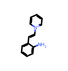 Nc1ccccc1/C=C/[n+]1ccccc1